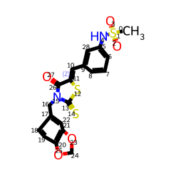 CS(=O)(=O)Nc1cccc(/C=C2\SC(=S)N(Cc3ccc4c(c3)OCO4)C2=O)c1